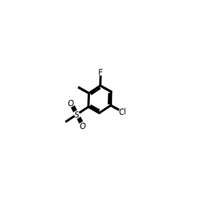 Cc1c(F)cc(Cl)cc1S(C)(=O)=O